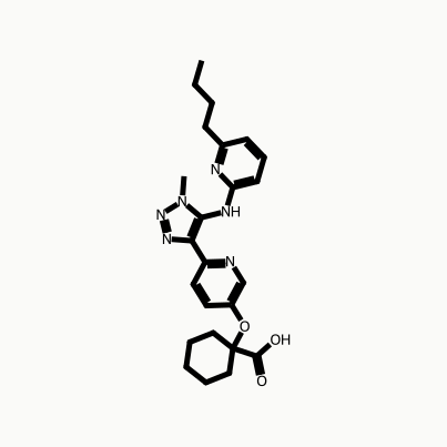 CCCCc1cccc(Nc2c(-c3ccc(OC4(C(=O)O)CCCCC4)cn3)nnn2C)n1